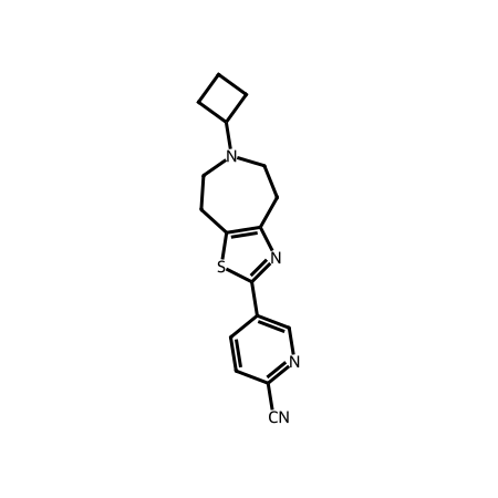 N#Cc1ccc(-c2nc3c(s2)CCN(C2CCC2)CC3)cn1